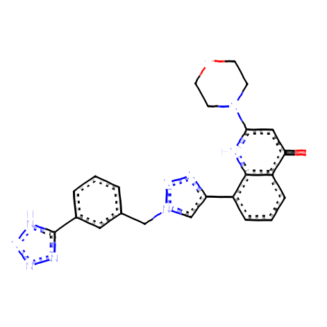 O=c1cc(N2CCOCC2)[nH]c2c(-c3cn(Cc4cccc(-c5nnn[nH]5)c4)nn3)cccc12